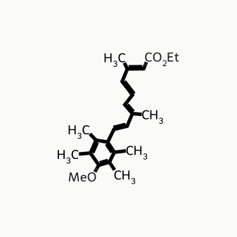 CCOC(=O)C=C(C)C=CC=C(C)C=Cc1c(C)c(C)c(OC)c(C)c1C